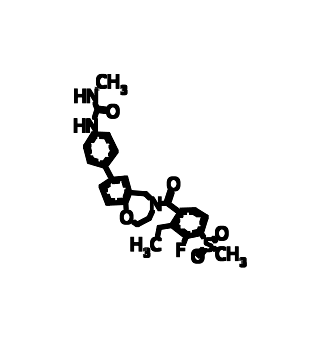 CCc1c(C(=O)N2CCOc3ccc(-c4ccc(NC(=O)NC)cc4)cc3C2)ccc(S(C)(=O)=O)c1F